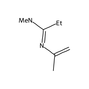 C=C(C)/N=C(\CC)NC